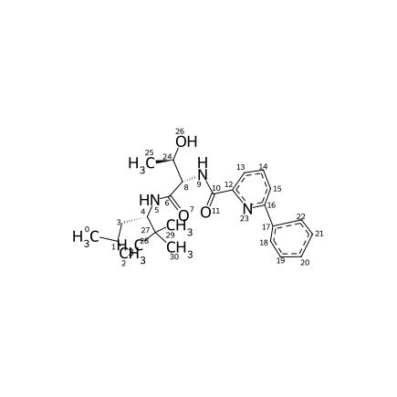 CC(C)C[C@H](NC(=O)[C@@H](NC(=O)c1cccc(-c2ccccc2)n1)[C@@H](C)O)C(C)(C)C